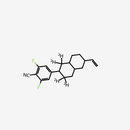 [2H]C1([2H])CC2CC(C=C)CCC2C([2H])([2H])C1c1cc(F)c(C#N)c(F)c1